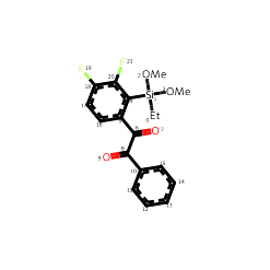 CC[Si](OC)(OC)c1c(C(=O)C(=O)c2ccccc2)ccc(F)c1F